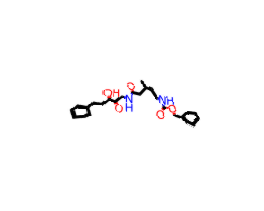 CC(CCNC(=O)OCc1ccccc1)CC(=O)NCC(=O)C(O)CCc1ccccc1